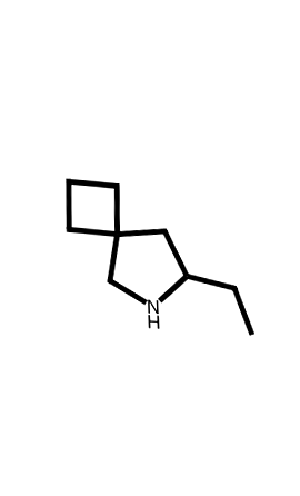 CCC1CC2(CCC2)CN1